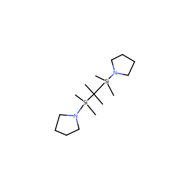 CC(C)([Si](C)(C)N1CCCC1)[Si](C)(C)N1CCCC1